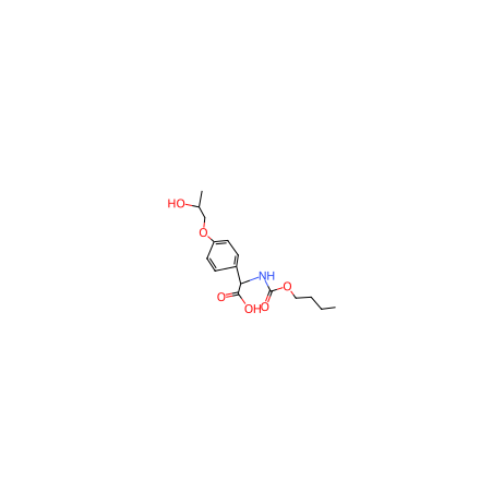 CCCCOC(=O)NC(C(=O)O)c1ccc(OCC(C)O)cc1